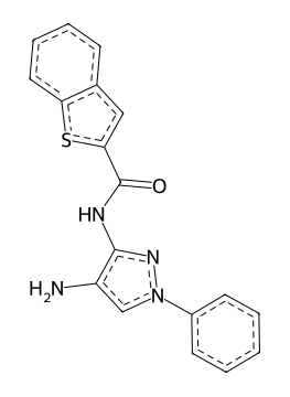 Nc1cn(-c2ccccc2)nc1NC(=O)c1cc2ccccc2s1